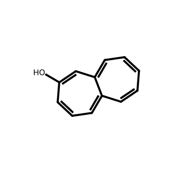 OC1=CC2=CC=CC=CC2=CC=C1